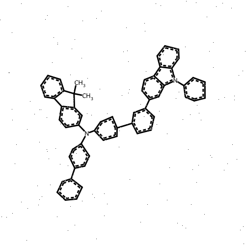 CC1(C)c2ccccc2-c2ccc(N(c3ccc(-c4ccccc4)cc3)c3ccc(-c4cccc(-c5ccc6c7ccccc7n(-c7ccccc7)c6c5)c4)cc3)cc21